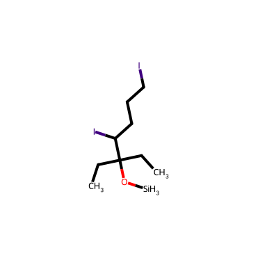 CCC(CC)(O[SiH3])C(I)CCCI